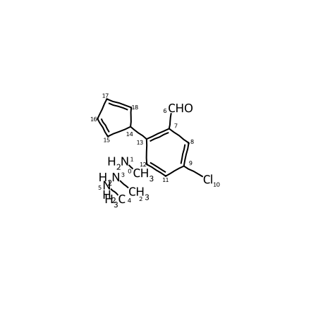 CN.CN.CN.O=Cc1cc(Cl)ccc1C1C=CC=C1